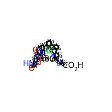 COc1nc(-c2cccc(-c3cccc(-c4ccn5c(=O)c(CN(CC6CCC(=O)N6)C(=O)OC(C)(C)C)cnc5c4)c3Cl)c2Cl)ccc1CN1CC(C(=O)O)C1